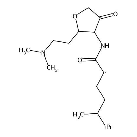 CC(C)C(C)CC[CH]C(=O)NC1C(=O)COC1CCN(C)C